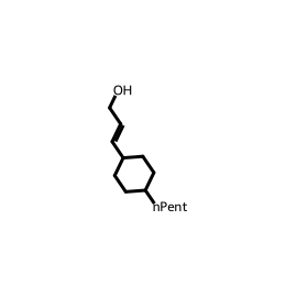 CCCCCC1CCC(C=CCO)CC1